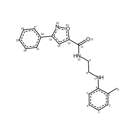 Cc1ccccc1NCCNC(=O)c1cc(-c2ccccc2)no1